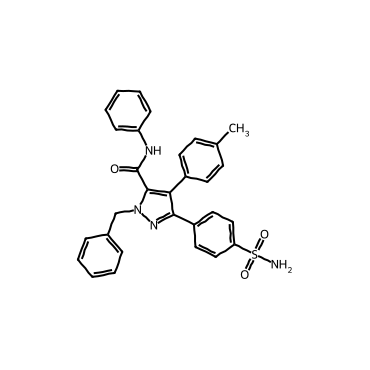 Cc1ccc(-c2c(-c3ccc(S(N)(=O)=O)cc3)nn(Cc3ccccc3)c2C(=O)Nc2ccccc2)cc1